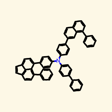 C1=Cc2ccc(-c3ccc(N(c4ccc(-c5ccccc5)cc4)c4ccc(-c5ccc6cccc(-c7ccccc7)c6c5)cc4)cc3)c3c(-c4ccccc4)ccc1c23